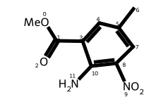 COC(=O)c1cc(C)cc([N+](=O)[O-])c1N